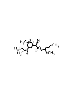 CCCCC(CC)COC(=O)/C(C#N)=C1\CC(NC(C)CC)CC(C)(C)C1